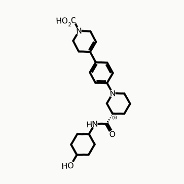 O=C(NC1CCC(O)CC1)[C@H]1CCCN(c2ccc(C3=CCN(C(=O)O)CC3)cc2)C1